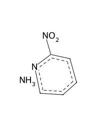 N.O=[N+]([O-])c1ccccn1